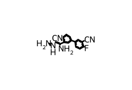 N#C/C(NN)=C(/N)c1cccc(-c2ccc(F)c(C#N)c2)c1